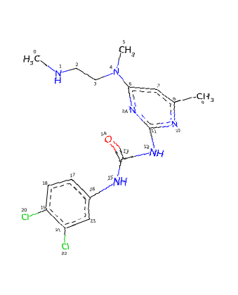 CNCCN(C)c1cc(C)nc(NC(=O)Nc2ccc(Cl)c(Cl)c2)n1